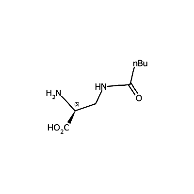 CCCCC(=O)NC[C@H](N)C(=O)O